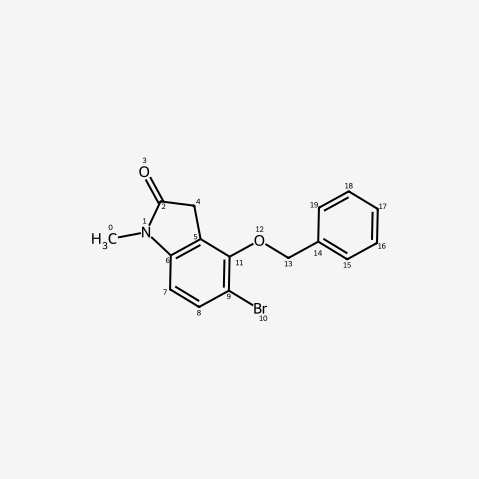 CN1C(=O)Cc2c1ccc(Br)c2OCc1ccccc1